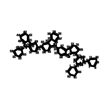 C1=CC(c2nc(-c3ccccc3)nc(-c3cccc4c3sc3ccc(-n5c6ccccc6c6cc(-c7ccc8c(c7)c7ccccc7n8-c7ccccc7)ccc65)cc34)n2)=CCC1